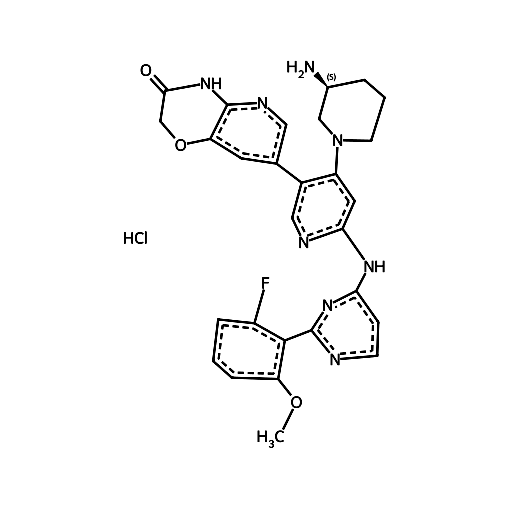 COc1cccc(F)c1-c1nccc(Nc2cc(N3CCC[C@H](N)C3)c(-c3cnc4c(c3)OCC(=O)N4)cn2)n1.Cl